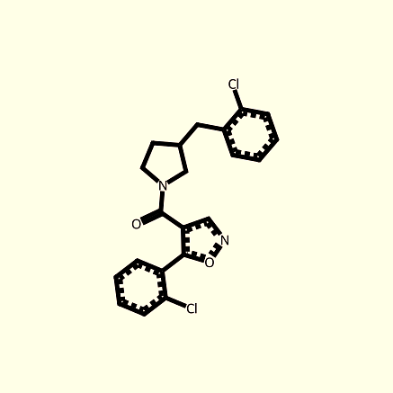 O=C(c1cnoc1-c1ccccc1Cl)N1CCC(Cc2ccccc2Cl)C1